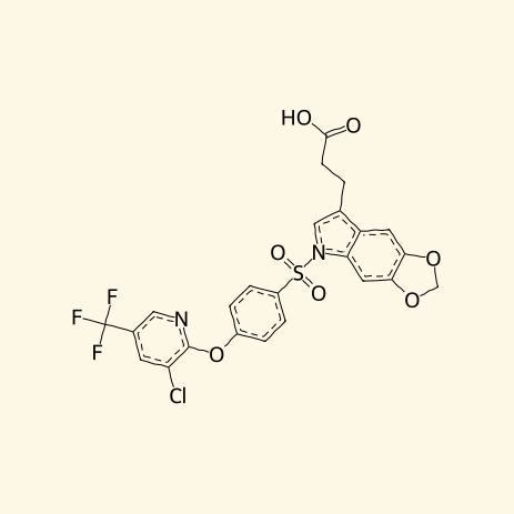 O=C(O)CCc1cn(S(=O)(=O)c2ccc(Oc3ncc(C(F)(F)F)cc3Cl)cc2)c2cc3c(cc12)OCO3